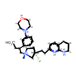 C[N+]1(CC(CC(=O)O)c2cccc(N3CCOCC3)c2)CC[C@@](F)(CCc2ccc3c(n2)NCCC3)C1